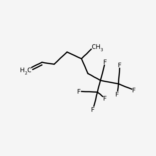 C=CCCC(C)CC(F)(C(F)(F)F)C(F)(F)F